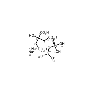 O=C(O)CC(O)(CC(=O)O)C(=O)O.O=P(O)(O)OB([O-])[O-].[Na+].[Na+]